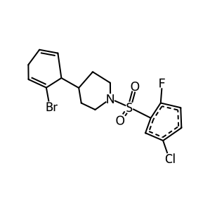 O=S(=O)(c1cc(Cl)ccc1F)N1CCC(C2C=CCC=C2Br)CC1